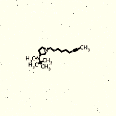 CC#CCCCCCCN1CCC(N(C)C(C)(C)C)C1